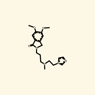 COc1cc2c(cc1OC)C(=O)N(CCCN(C)CCn1ccnc1)C2